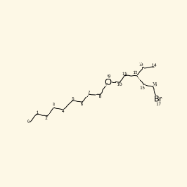 CCCCCCCCCOCCC(CC)CCBr